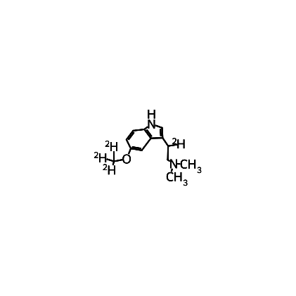 [2H]C(CN(C)C)c1c[nH]c2ccc(OC([2H])([2H])[2H])cc12